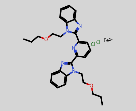 CCCOCCn1c(-c2cccc(-c3nc4ccccc4n3CCOCCC)n2)nc2ccccc21.[Cl-].[Cl-].[Fe+2]